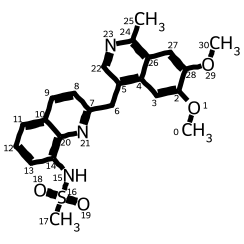 COc1cc2c(Cc3ccc4cccc(NS(C)(=O)=O)c4n3)cnc(C)c2cc1OC